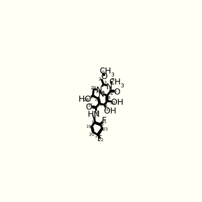 COCC1N(C)C(=O)C2=C(O)C(O)C(C(=O)NCc3ccc(F)cc3F)=C3C(O)CN1N23